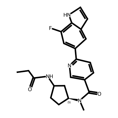 CCC(=O)NC1CC[C@H](N(C)C(=O)c2ccc(-c3cc(F)c4[nH]ccc4c3)nc2)C1